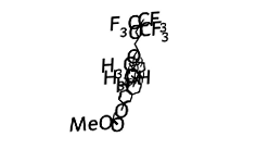 COC(=O)COc1ccc2c(c1)CC[C@@]1(C)[C@@H]3CC[C@H](OCCCOC(C(F)(F)F)(C(F)(F)F)C(F)(F)F)[C@@]3(C)CC[C@H]21